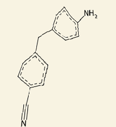 N#Cc1ccc(Cc2ccc(N)cc2)cc1